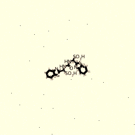 O=C(NC(c1nc2ccccc2s1)S(=O)(=O)O)NC(c1nc2ccccc2s1)S(=O)(=O)O